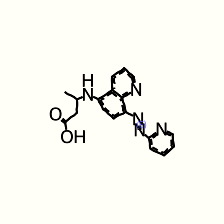 CC(CC(=O)O)Nc1ccc(/N=N/c2ccccn2)c2ncccc12